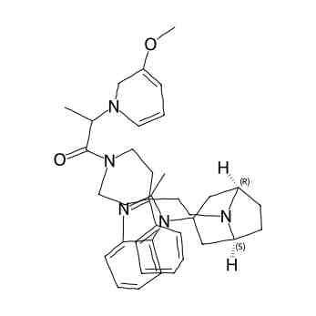 COC1=CC=CN(C(C)C(=O)N2CCC(CCN3[C@@H]4CC[C@H]3CC(n3c(C)nc5ccccc53)C4)(c3ccccc3)CC2)C1